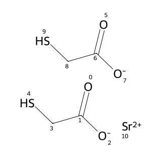 O=C([O-])CS.O=C([O-])CS.[Sr+2]